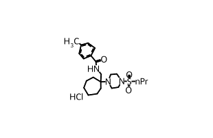 CCCS(=O)(=O)N1CCN(C2(CNC(=O)c3ccc(C)cc3)CCCCCC2)CC1.Cl